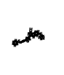 C(#Cc1cc(-c2n[nH]c3c2Cc2cc(Cn4cncn4)ccc2-3)cs1)CSc1ccccc1